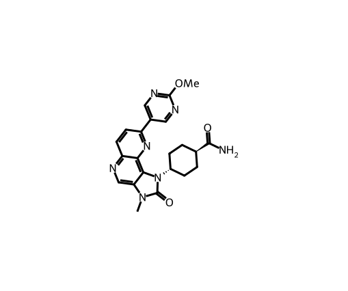 COc1ncc(-c2ccc3ncc4c(c3n2)n([C@H]2CC[C@H](C(N)=O)CC2)c(=O)n4C)cn1